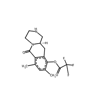 Cc1cc(C)c2c(c1OC(=O)C(F)(F)F)C[C@@H]1CNCCN1C2=O